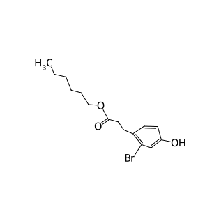 CCCCCCOC(=O)CCc1ccc(O)cc1Br